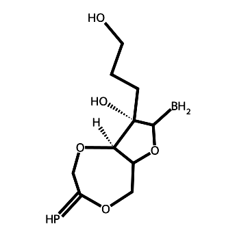 BC1OC2COC(=P)CO[C@H]2[C@@]1(O)CCCO